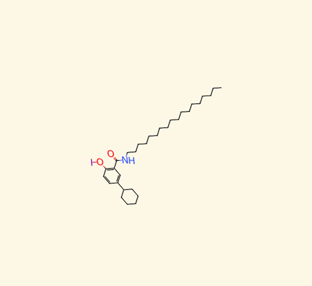 CCCCCCCCCCCCCCCCCCNC(=O)c1cc(C2CCCCC2)ccc1OI